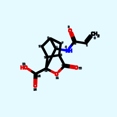 C=CC(=O)NC1C2CC3C(=O)OC1(C(=O)O)C3C2